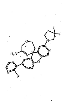 NC1=N[C@@]2(CCOC1)c1cc(-c3cccnc3F)ccc1Oc1cnc(N3CCC(F)(F)C3)cc12